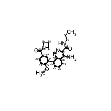 CCCNC(=O)c1nnc2c(-c3cc(C(=O)N4CCC4)ccc3OC)cccc2c1N